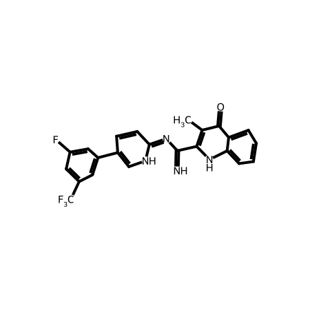 Cc1c(C(=N)/N=c2/ccc(-c3cc(F)cc(C(F)(F)F)c3)c[nH]2)[nH]c2ccccc2c1=O